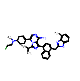 Cc1cccc2[nH]c(Cc3ccc(-c4nc(C(C)C)n5c(C6=CCC(N(C)CCF)CC6)cnc(N)c45)c4ccccc34)nc12